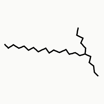 [CH2]CCCCC(CCCCC)CCCCCCCCCCCCCCCC